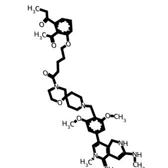 C=C1C2=C(CNC(NC)=C2)C(c2cc(OC)c(CN3CCC4(CC3)CN(C(=O)CCCCOc3cccc(C(=O)CC)c3C(C)=O)CCO4)c(OC)c2)=CN1C